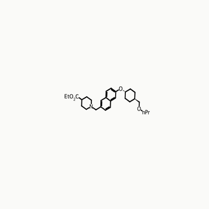 CCCOC[C@H]1CC[C@H](Oc2ccc3cc(CN4CCC(C(=O)OCC)CC4)ccc3c2)CC1